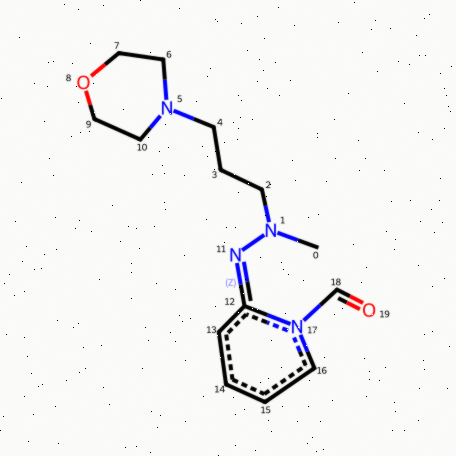 CN(CCCN1CCOCC1)/N=c1/ccccn1C=O